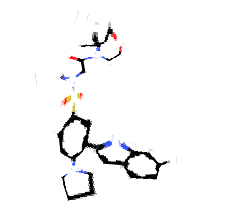 Cc1ccc2cc(-c3cc(S(=O)(=O)N(C)CC(=O)N4CCOCC4(C)C)ccc3N3CCCC3)[nH]c2c1